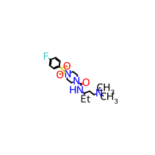 CCC(CCN(C)C)NC(=O)N1CCN(S(=O)(=O)c2ccc(F)cc2)CC1